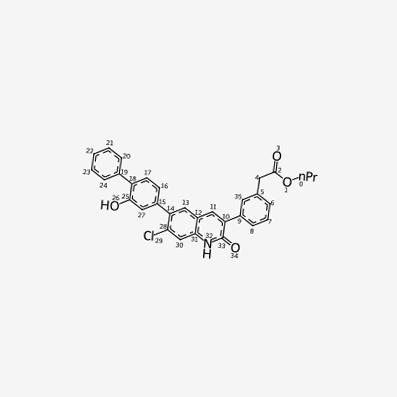 CCCOC(=O)Cc1cccc(-c2cc3cc(-c4ccc(-c5ccccc5)c(O)c4)c(Cl)cc3[nH]c2=O)c1